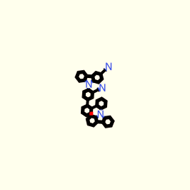 N#Cc1ccc2c(c1)c1ccccc1n2-c1ccc(-c2ccccc2-c2ccccc2-n2c3ccccc3c3ccccc32)cc1C#N